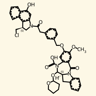 COc1cc2c(cc1OCc1cccc(CC(=O)N3C[C@@H](CCl)c4c3cc(O)c3ccccc43)c1)N(C(=O)O)C(OC1CCCCO1)[C@@H]1Cc3ccccc3N1C2=O